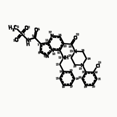 CS(=O)(=O)NC(=O)c1cnn2c(NCc3ccccc3)c(C(=O)N3CCN(c4ccccc4Cl)CC3)cnc12